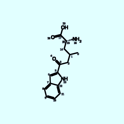 CC(CC(=O)c1cc2ccccc2[nH]1)C[C@@H](N)C(=O)O